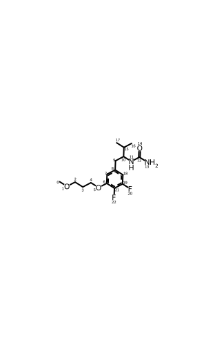 COCCCOc1cc(CC(NC(N)=O)C(C)C)cc(F)c1F